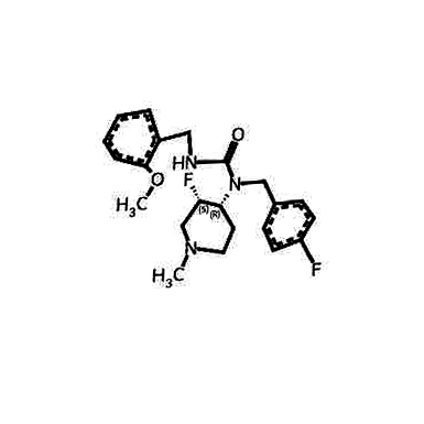 COc1ccccc1CNC(=O)N(Cc1ccc(F)cc1)[C@@H]1CCN(C)C[C@@H]1F